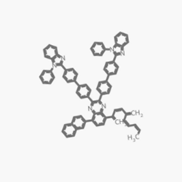 C=C(/C=C\C=C/C)/C=C\C(=C)c1ccc(-c2ccc3ccccc3c2)c2nc(-c3ccc(-c4ccc(-c5nc6ccccc6n5-c5ccccc5)cc4)cc3)c(-c3ccc(-c4ccc(-c5nc6ccccc6n5-c5ccccc5)cc4)cc3)nc12